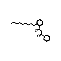 CCCCCCCCCc1ccccc1C(=O)CC(=O)c1ccccc1